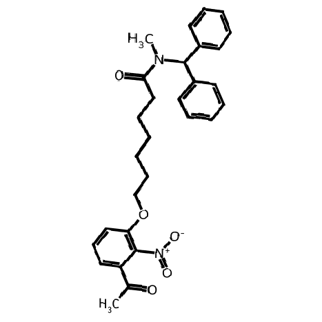 CC(=O)c1cccc(OCCCCCCC(=O)N(C)C(c2ccccc2)c2ccccc2)c1[N+](=O)[O-]